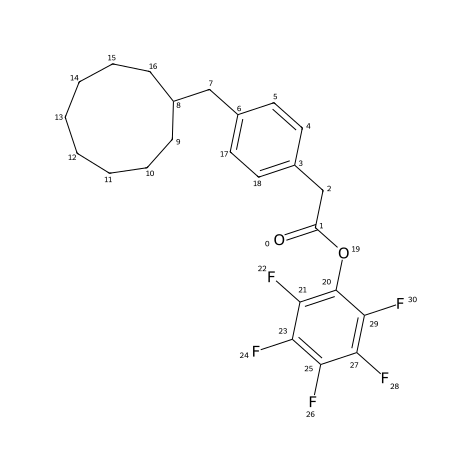 O=C(Cc1ccc(CC2CCCCCCCC2)cc1)Oc1c(F)c(F)c(F)c(F)c1F